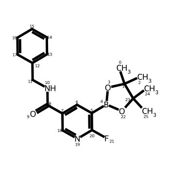 CC1(C)OB(c2cc(C(=O)NCc3ccccc3)cnc2F)OC1(C)C